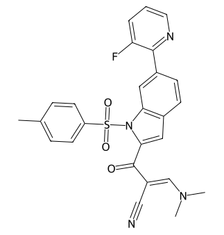 Cc1ccc(S(=O)(=O)n2c(C(=O)C(C#N)=CN(C)C)cc3ccc(-c4ncccc4F)cc32)cc1